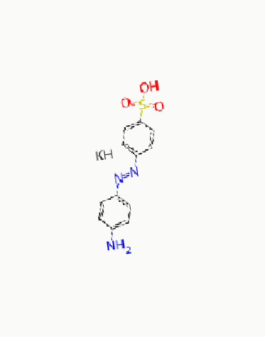 Nc1ccc(N=Nc2ccc(S(=O)(=O)O)cc2)cc1.[KH]